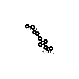 CC1(C)c2ccccc2-c2cc(-c3c4ccccc4c(-c4ccc(-c5ccc6c(ccc7c6oc6ccc8c9ccccc9oc8c67)c5)cc4)c4ccccc34)ccc21